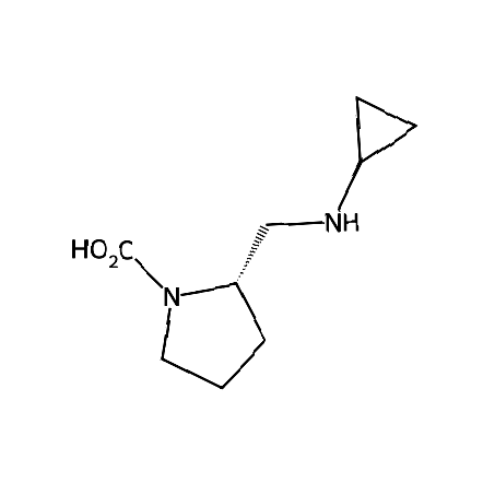 O=C(O)N1CCC[C@H]1CNC1CC1